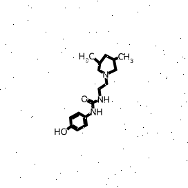 CC1CC(C)CN(CCNC(=O)Nc2ccc(O)cc2)C1